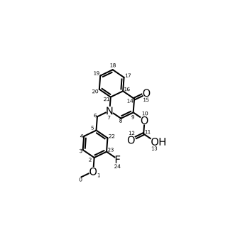 COc1ccc(Cn2cc(OC(=O)O)c(=O)c3ccccc32)cc1F